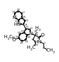 CCCNC(=O)C(C)(CCC)n1cc(-c2cc3cccnc3[nH]2)c2cc(OC)ccc21